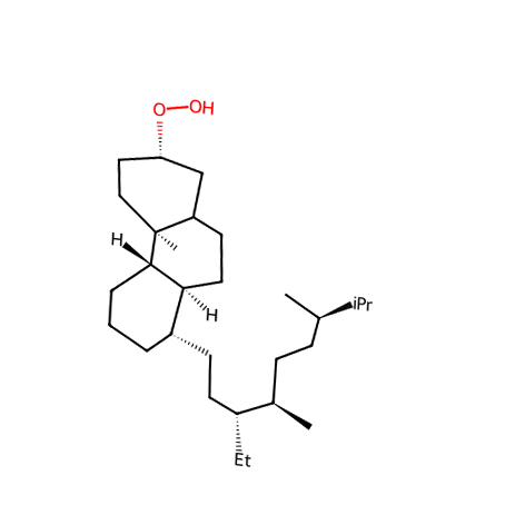 CC[C@H](CC[C@@H]1CCC[C@H]2[C@H]1CCC1C[C@@H](OO)CC[C@@]12C)[C@H](C)CC[C@@H](C)C(C)C